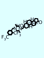 CC1CN(C[C@@]2(O)CC[C@@]3(C)[C@@H](CC[C@@H]4[C@@H]3CC[C@]3(C)C(=O)CC[C@@H]43)C2)C(C)CN1Cc1ccc(C(F)(F)F)cc1C(F)(F)F